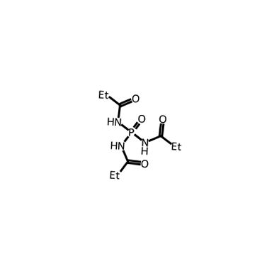 CCC(=O)NP(=O)(NC(=O)CC)NC(=O)CC